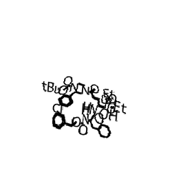 CCOP(=O)(OCC)C(O)C(CCC(=O)N1CCN(C(=O)OC(C)(C)C)C(c2ccccc2)C1)NC(=O)C(CC1CCCCC1)NC(=O)OCc1cccc(Cl)c1